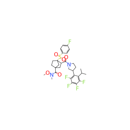 CON(C)C(=O)C12CCC(S(=O)(=O)c3ccc(F)cc3)(C1)C(C(=O)N1CCC(c3c(F)c(F)c(F)c(F)c3C(C)C)C1)C2